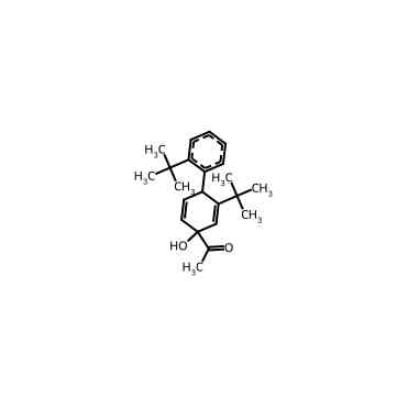 CC(=O)C1(O)C=CC(c2ccccc2C(C)(C)C)C(C(C)(C)C)=C1